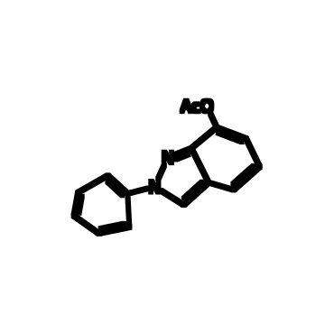 CC(=O)Oc1cccc2cn(-c3ccccc3)nc12